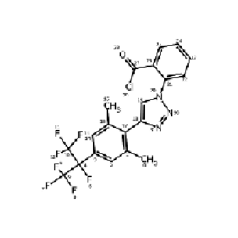 Cc1cc(C(F)(C(F)(F)F)C(F)(F)F)cc(C)c1-c1cn(-c2ccccc2C(=O)Cl)nn1